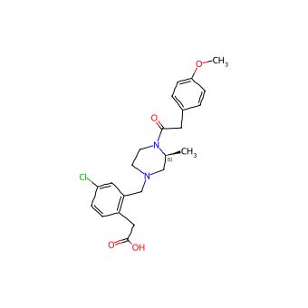 COc1ccc(CC(=O)N2CCN(Cc3cc(Cl)ccc3CC(=O)O)C[C@@H]2C)cc1